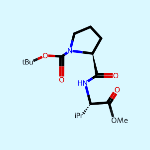 COC(=O)[C@@H](NC(=O)[C@@H]1CCCN1C(=O)OC(C)(C)C)C(C)C